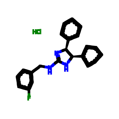 Cl.Fc1cccc(CNC2=N[C@@H](c3ccccc3)[C@@H](c3ccccc3)N2)c1